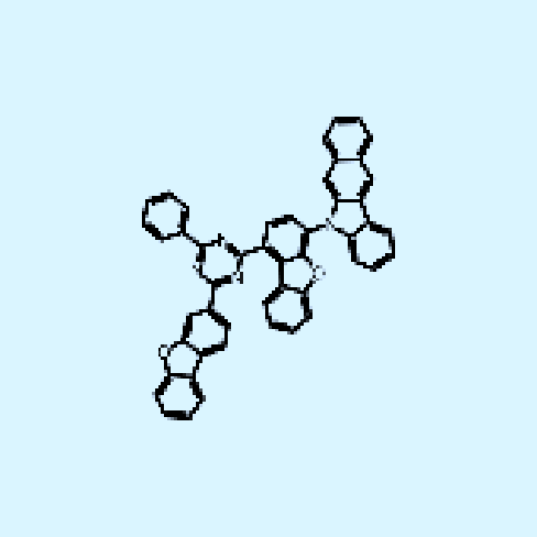 c1ccc(-c2nc(-c3ccc4c(c3)oc3ccccc34)nc(-c3ccc(-n4c5ccccc5c5cc6ccccc6cc54)c4oc5ccccc5c34)n2)cc1